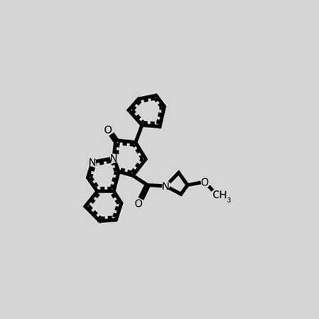 COC1CN(C(=O)c2cc(-c3ccccc3)c(=O)n3ncc4ccccc4c23)C1